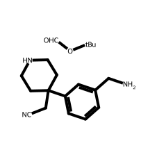 CC(C)(C)OC=O.N#CCC1(c2cccc(CN)c2)CCNCC1